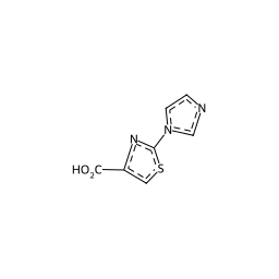 O=C(O)c1csc(-n2ccnc2)n1